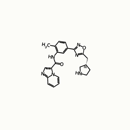 Cc1ccc(-c2noc(C[C@@H]3CCNC3)n2)cc1NC(=O)c1cnc2ccccn12